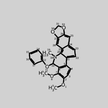 COc1ccc2c(c1OC)C(Oc1ccccc1)N(C)c1c-2ccc2cc3c(cc12)OCO3